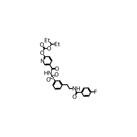 CCC(CC)OC(=O)Oc1ccc(C(=O)NS(=O)(=O)c2cccc(CCNC(=O)c3ccc(F)cc3)c2)cn1